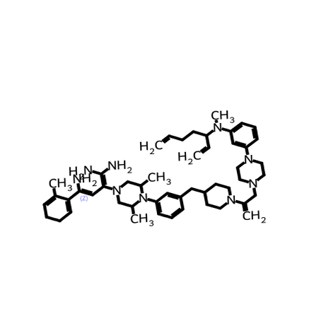 C=CCCC(C=C)N(C)c1cccc(N2CCN(CC(=C)N3CCC(Cc4cccc(N5C(C)CN(C(/C=C(\N)C6=CCCC=C6C)=C(N)N)CC5C)c4)CC3)CC2)c1